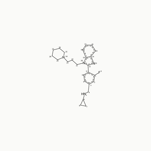 Fc1cc(CNC2CC2)ccc1-c1nc2ccccc2n1CCCN1CCCCC1